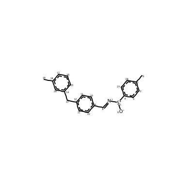 Cc1ccc([S+]([O-])N=Cc2ccc(Cc3cccc(C)c3)cc2)cc1